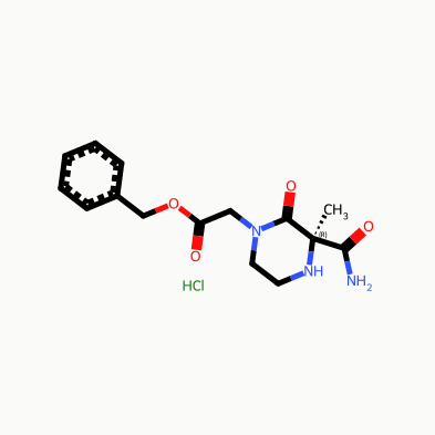 C[C@]1(C(N)=O)NCCN(CC(=O)OCc2ccccc2)C1=O.Cl